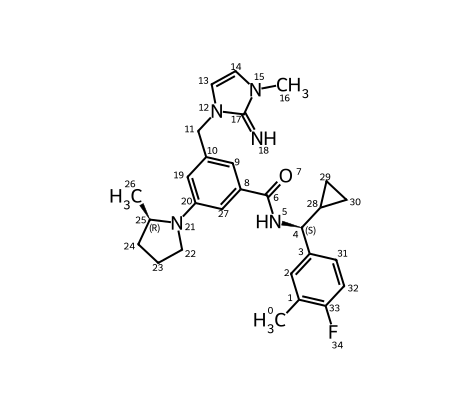 Cc1cc([C@@H](NC(=O)c2cc(Cn3ccn(C)c3=N)cc(N3CCC[C@H]3C)c2)C2CC2)ccc1F